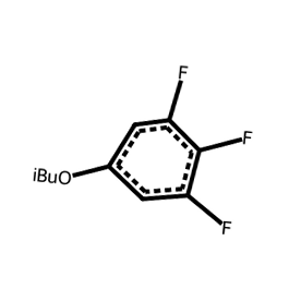 CC(C)COc1cc(F)c(F)c(F)c1